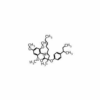 CCCCCCCC(C)(Oc1ccc(C(C)CC)cc1)C(=O)Nc1c(OC)cc(OC)cc1OC